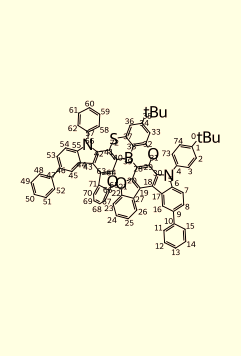 CC(C)(C)c1ccc(-n2c3ccc(-c4ccccc4)cc3c3c4c(oc5ccccc54)c4c(c32)Oc2cc(C(C)(C)C)cc3c2B4c2c(c4c(c5cc(-c6ccccc6)ccc5n4-c4ccccc4)c4c2oc2ccccc24)S3)cc1